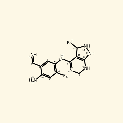 N=Cc1cc(NC2=NCNC3=C2C(Br)NN3)c(F)cc1N